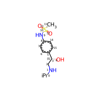 CC(C)NC[C@@H](O)c1ccc(NS(C)(=O)=O)cc1